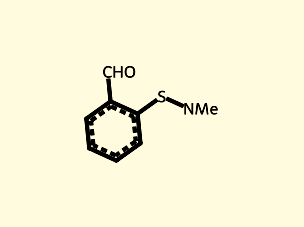 CNSc1ccccc1C=O